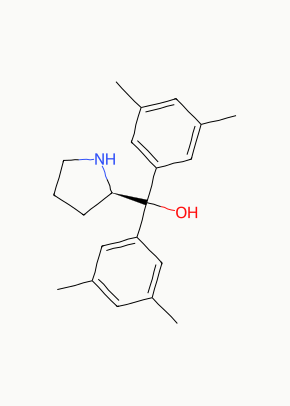 Cc1cc(C)cc(C(O)(c2cc(C)cc(C)c2)[C@H]2CCCN2)c1